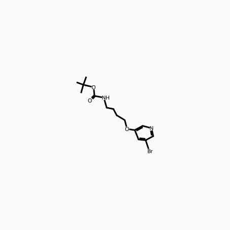 CC(C)(C)OC(=O)NCCCCOc1cncc(Br)c1